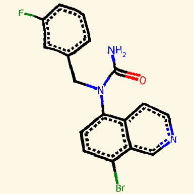 NC(=O)N(Cc1cccc(F)c1)c1ccc(Br)c2cnccc12